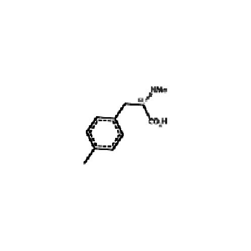 CN[C@@H](Cc1ccc(C)cc1)C(=O)O